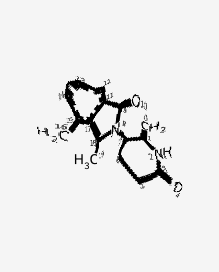 C=C1NC(=O)CCC1N1C(=O)c2cccc(=C)c2=C1C